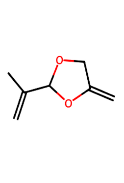 C=C1COC(C(=C)C)O1